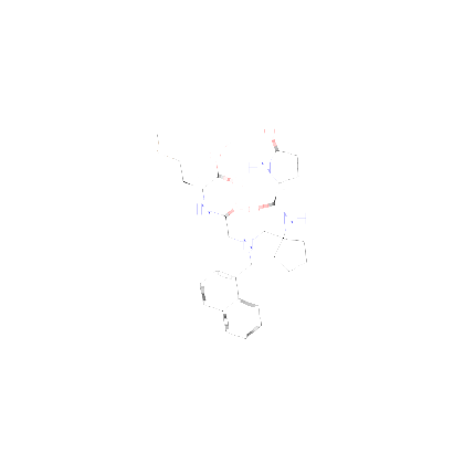 COC(=O)[C@H](CCSC)NC(=O)CN(Cc1cccc2ccccc12)CC1(NC(=O)[C@@H]2CCC(=O)N2)CCCC1